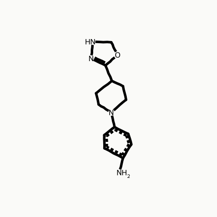 Nc1ccc(N2CCC(C3=NNCO3)CC2)cc1